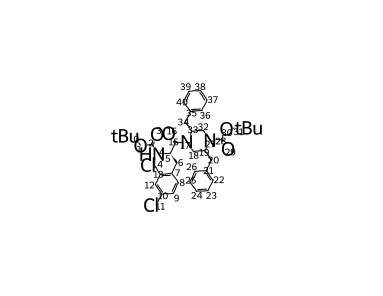 CC(C)(C)OC(=O)N[C@H](Cc1ccc(Cl)cc1Cl)C(=O)N1C[C@H](Cc2ccccc2)N(C(=O)OC(C)(C)C)CC1Cc1ccccc1